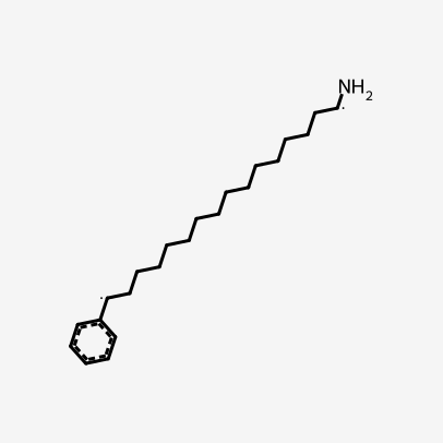 N[CH]CCCCCCCCCCCCCC[CH]c1ccccc1